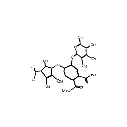 CCC(O)C1C(O)C(O)C(OC2CC(C(=O)OC)C(C(=O)OC)CC2OC2OC(O)C(O)C(O)C2O)C1O